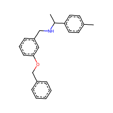 Cc1ccc(C(C)NCc2cccc(OCc3ccccc3)c2)cc1